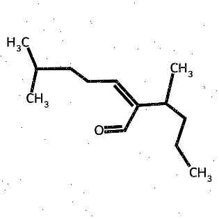 CCCC(C)C(C=O)=CCCC(C)C